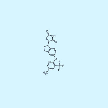 Cc1cnc(Oc2ccc3c(c2)CC[C@H]3C2SC(=O)NC2=O)c(C(F)(F)F)c1